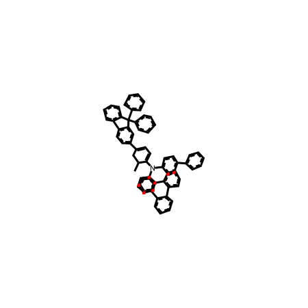 CC1CC(c2ccc3c(c2)C(c2ccccc2)(c2ccccc2)c2ccccc2-3)=CC=C1N(c1ccc(-c2ccccc2)cc1)c1ccccc1-c1ccccc1-c1ccccc1-c1ccccc1